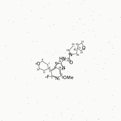 COc1nc(F)c(C2CCOCC2)c2sc(NC(=O)N3CC[C@@]4(CCOC4)C3)nc12